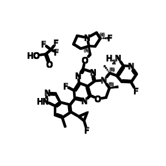 Cc1cc2[nH]ncc2c(-c2nc3c4c(nc(OC[C@@]56CCCN5C[C@H](F)C6)nc4c2F)N([C@H](C)c2cc(F)cnc2N)[C@@H](C)CO3)c1C1CC1F.O=C(O)C(F)(F)F